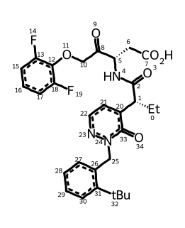 CC[C@@H](C(=O)N[C@@H](CC(=O)O)C(=O)COc1c(F)cccc1F)c1ccnn(Cc2ccccc2C(C)(C)C)c1=O